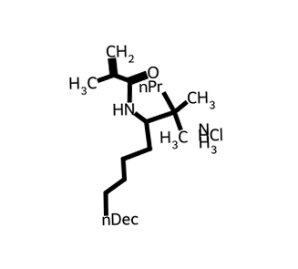 C=C(C)C(=O)NC(CCCCCCCCCCCCCC)C(C)(C)CCC.Cl.N